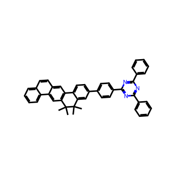 CC1(C)c2cc(-c3ccc(-c4nc(-c5ccccc5)nc(-c5ccccc5)n4)cc3)ccc2-c2cc3ccc4ccccc4c3cc2C1(C)C